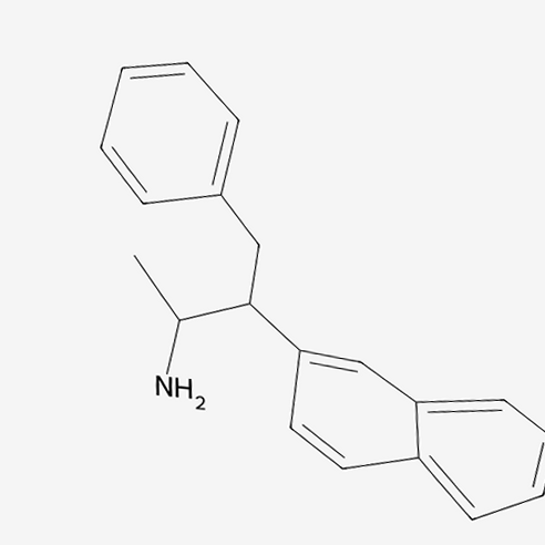 CC(N)C(Cc1ccccc1)c1ccc2ccccc2c1